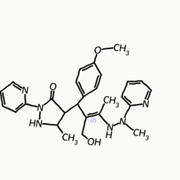 COc1ccc(C(/C(CO)=C(\C)NN(C)c2ccccn2)C2C(=O)N(c3ccccn3)NC2C)cc1